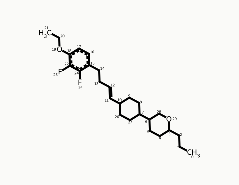 CCCC1CCC(C2CCC(/C=C/CCc3ccc(OCC)c(F)c3F)CC2)CO1